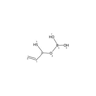 C=CC(S)OB(O)O